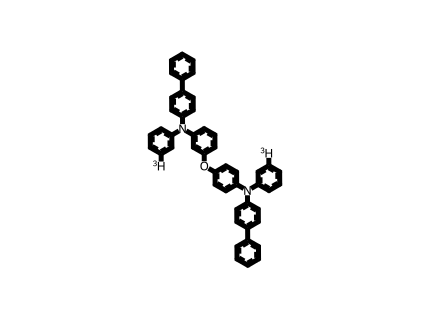 [3H]c1cccc(N(c2ccc(Oc3cccc(N(c4ccc(-c5ccccc5)cc4)c4cccc([3H])c4)c3)cc2)c2ccc(-c3ccccc3)cc2)c1